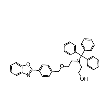 OCCN(CCOCc1ccc(-c2nc3ccccc3o2)cc1)C(c1ccccc1)(c1ccccc1)c1ccccc1